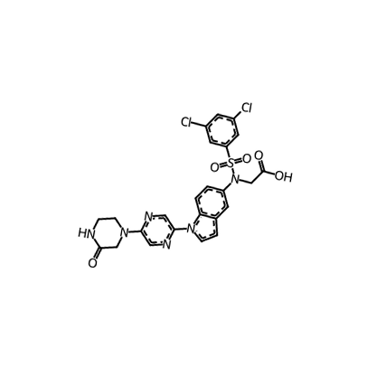 O=C(O)CN(c1ccc2c(ccn2-c2cnc(N3CCNC(=O)C3)cn2)c1)S(=O)(=O)c1cc(Cl)cc(Cl)c1